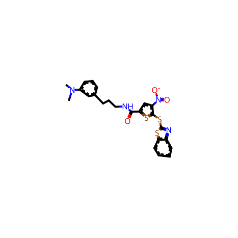 CN(C)c1cccc(CCCNC(=O)c2cc([N+](=O)[O-])c(Sc3nc4ccccc4s3)s2)c1